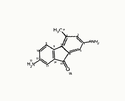 Cc1cc(N)cc2c1-c1ccc(N)cc1C2=O